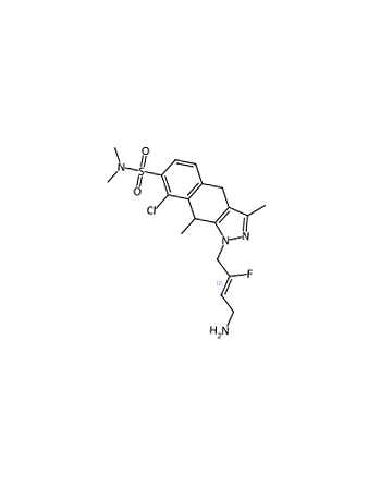 Cc1nn(C/C(F)=C/CN)c2c1Cc1ccc(S(=O)(=O)N(C)C)c(Cl)c1C2C